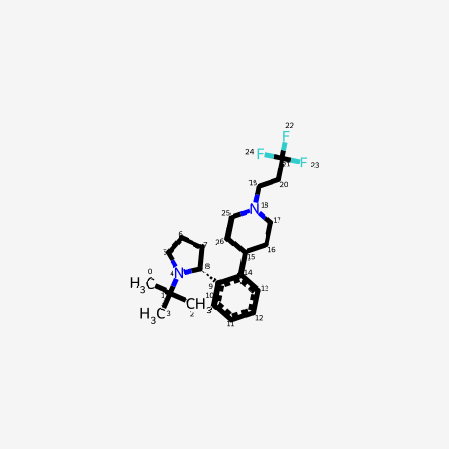 CC(C)(C)N1CCC[C@@H]1c1ccccc1C1CCN(CCC(F)(F)F)CC1